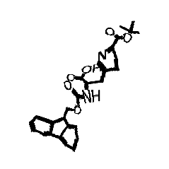 CC(C)(C)OC(=O)c1ccc(CC(NC(=O)OCC2c3ccccc3-c3ccccc32)C(=O)O)cn1